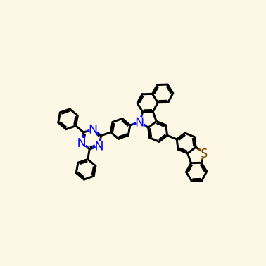 c1ccc(-c2nc(-c3ccccc3)nc(-c3ccc(-n4c5ccc(-c6ccc7sc8ccccc8c7c6)cc5c5c6ccccc6ccc54)cc3)n2)cc1